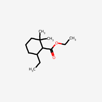 CCOC(=O)C1C(CC)CCCC1(C)C